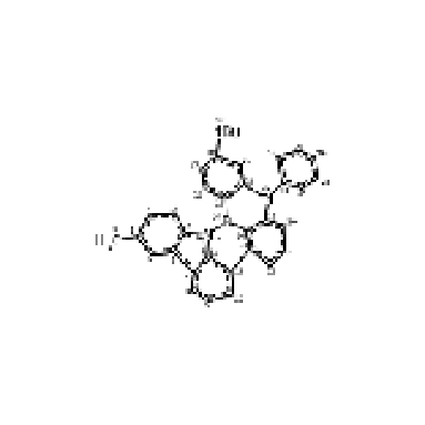 Cc1ccc2c(c1)c1cccc3c1n2B1c2ccc(C(C)(C)C)cc2N(c2ccccc2)c2cccc-3c21